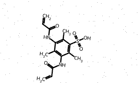 C=CC(=O)Nc1c(C)c(NC(=O)C=C)c(C)c(S(=O)(=O)O)c1C